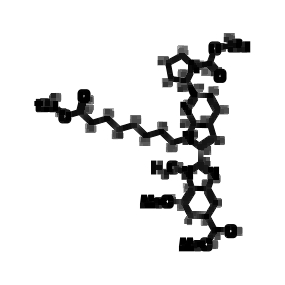 COC(=O)c1cc(OC)c2c(c1)nc(-c1cc3ccc([C@H]4CCCN4C(=O)OC(C)(C)C)nc3n1CCCCCCCC(=O)OC(C)(C)C)n2C